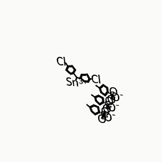 Cc1ccc(S(=O)(=O)[O-])cc1.Cc1ccc(S(=O)(=O)[O-])cc1.Cc1ccc(S(=O)(=O)[O-])cc1.Clc1ccc([CH]([Sn+3])c2ccc(Cl)cc2)cc1